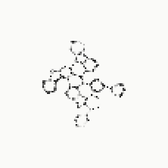 C1=Cc2c3n(c4ccc5c(c24)N(c2ccc(-c4ccccc4)cc2)B2c4c(cc6oc7ccccc7c6c4-5)-n4c5ccccc5c5cccc2c54)-c2ccccc2C3C1